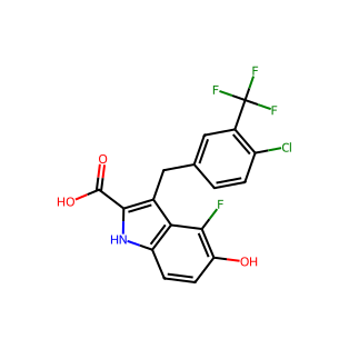 O=C(O)c1[nH]c2ccc(O)c(F)c2c1Cc1ccc(Cl)c(C(F)(F)F)c1